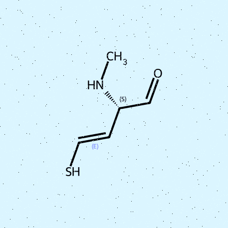 CN[C@H](C=O)/C=C/S